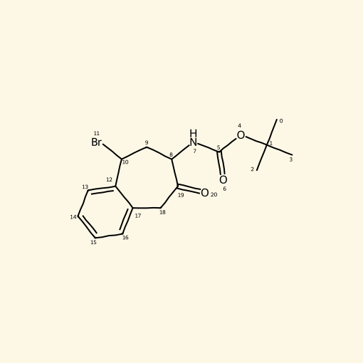 CC(C)(C)OC(=O)NC1CC(Br)c2ccccc2CC1=O